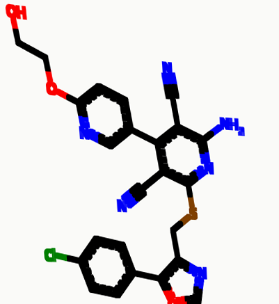 N#Cc1c(N)nc(SCc2ncoc2-c2ccc(Cl)cc2)c(C#N)c1-c1ccc(OCCO)nc1